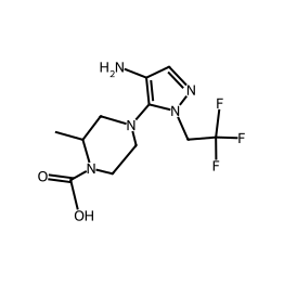 CC1CN(c2c(N)cnn2CC(F)(F)F)CCN1C(=O)O